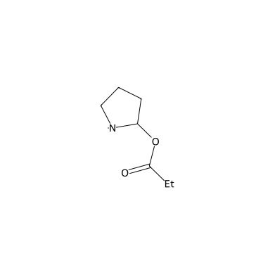 CCC(=O)OC1CCC[N]1